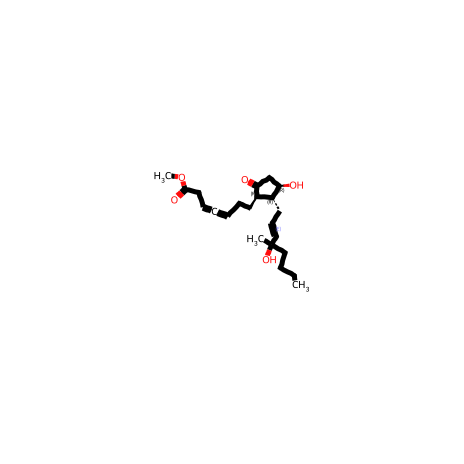 CCCCC(C)(O)/C=C/C[C@H]1[C@H](O)CC(=O)[C@@H]1CCC=C=CCC(=O)OC